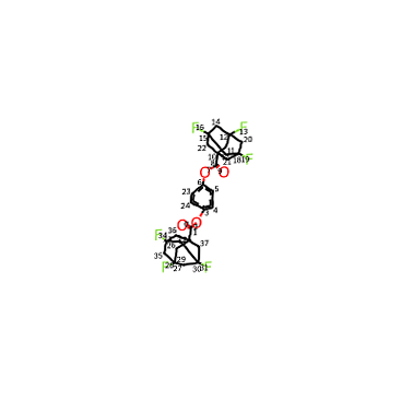 O=C(Oc1ccc(OC(=O)C23CC4(F)CC(F)(CC(F)(C4)C2)C3)cc1)C12CC3(F)CC(F)(CC(F)(C3)C1)C2